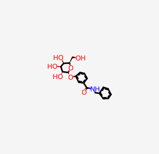 O=C(NCc1ccccc1)c1cccc(O[C@H]2O[C@H](CO)[C@H](O)[C@H](O)[C@H]2O)c1